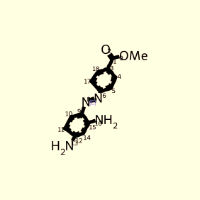 COC(=O)c1ccc(/N=N/c2ccc(N)cc2N)cc1